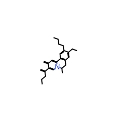 C=C1C=C2c3cc(CCCC)c(CC)cc3CC(C)N2C=C1C(=C)CCC